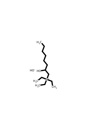 CCCCCCC(O)C[N+](CC)(CC)CC.[OH-]